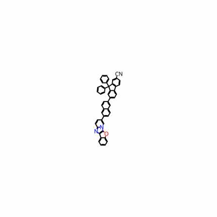 N#Cc1ccc2c(c1)C(c1ccccc1)(c1ccccc1)c1cc(-c3ccc4cc(-c5ccc6nc7c8ccccc8oc7n6c5)ccc4c3)ccc1-2